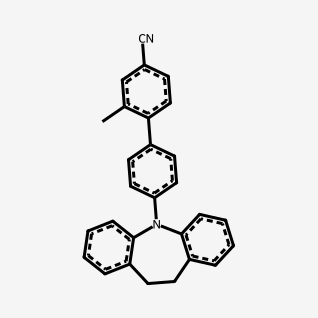 Cc1cc(C#N)ccc1-c1ccc(N2c3ccccc3CCc3ccccc32)cc1